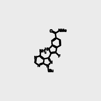 CNC(=O)c1ccc2c(F)c(-c3nn(C(C)(C)C)c4ncnc(N)c34)[nH]c2c1